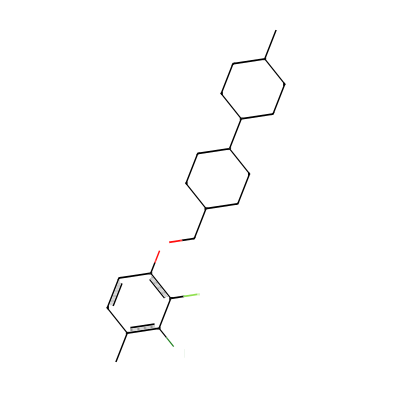 Cc1ccc(OCC2CCC(C3CCC(C)CC3)CC2)c(F)c1Cl